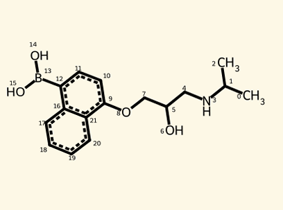 CC(C)NCC(O)COc1ccc(B(O)O)c2ccccc12